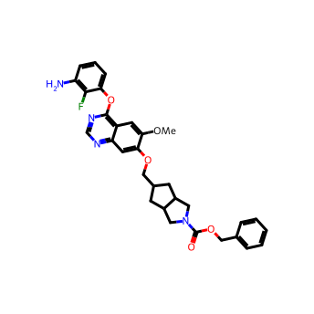 COc1cc2c(Oc3cccc(N)c3F)ncnc2cc1OCC1CC2CN(C(=O)OCc3ccccc3)CC2C1